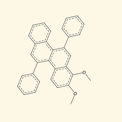 COc1ccc2c(cc(-c3ccccc3)c3c4ccccc4cc(-c4ccccc4)c23)c1OC